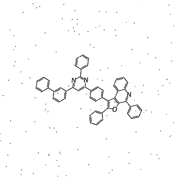 c1ccc(-c2cccc(-c3cc(-c4ccc(-c5c(-c6ccccc6)oc6c(-c7ccccc7)nc7ccccc7c56)cc4)nc(-c4ccccc4)n3)c2)cc1